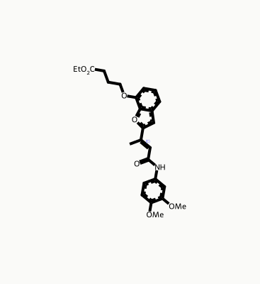 CCOC(=O)CCCOc1cccc2cc(/C(C)=C/C(=O)Nc3ccc(OC)c(OC)c3)oc12